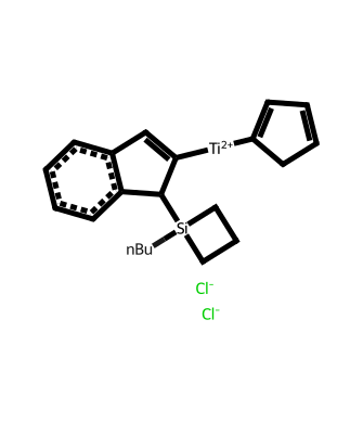 CCCC[Si]1(C2[C]([Ti+2][C]3=CC=CC3)=Cc3ccccc32)CCC1.[Cl-].[Cl-]